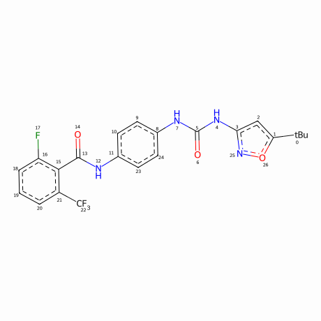 CC(C)(C)c1cc(NC(=O)Nc2ccc(NC(=O)c3c(F)cccc3C(F)(F)F)cc2)no1